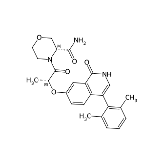 Cc1cccc(C)c1-c1c[nH]c(=O)c2cc(O[C@H](C)C(=O)N3CCOC[C@@H]3C(N)=O)ccc12